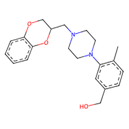 Cc1ccc(CO)cc1N1CCN(CC2COc3ccccc3O2)CC1